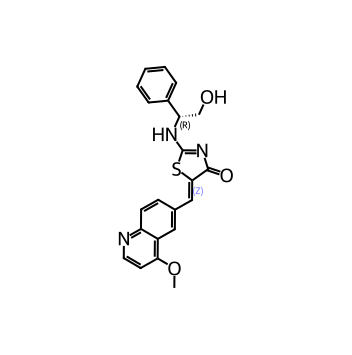 COc1ccnc2ccc(/C=C3\SC(N[C@@H](CO)c4ccccc4)=NC3=O)cc12